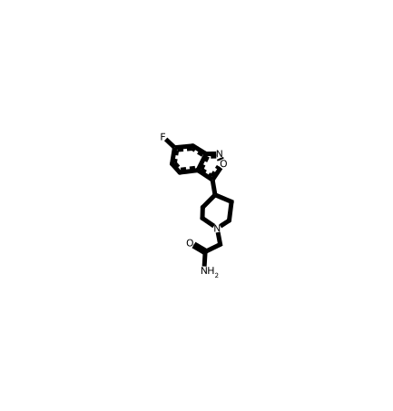 NC(=O)CN1CCC(c2onc3cc(F)ccc23)CC1